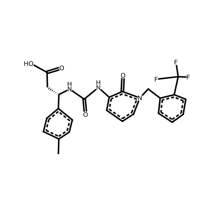 Cc1ccc([C@H](CC(=O)O)NC(=O)Nc2cccn(Cc3ccccc3C(F)(F)F)c2=O)cc1